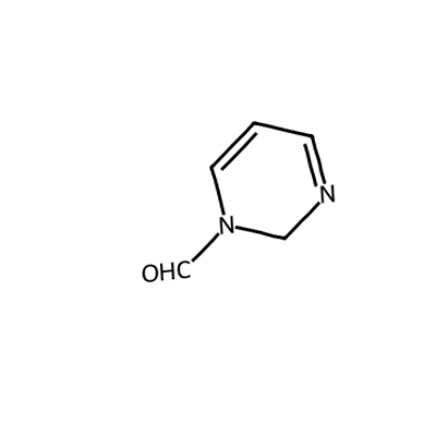 O=CN1C=CC=NC1